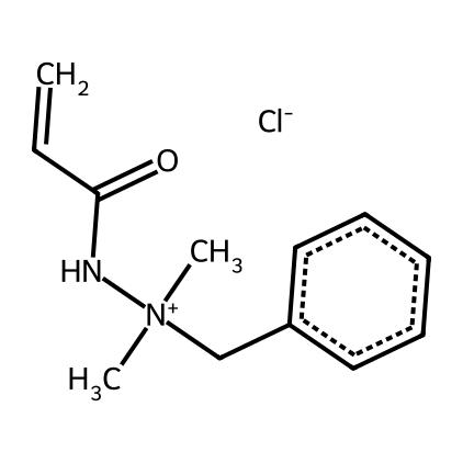 C=CC(=O)N[N+](C)(C)Cc1ccccc1.[Cl-]